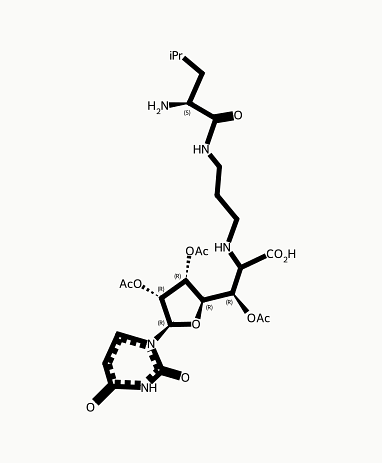 CC(=O)O[C@H]1[C@@H](OC(C)=O)[C@H](n2ccc(=O)[nH]c2=O)O[C@@H]1[C@H](OC(C)=O)C(NCCCNC(=O)[C@@H](N)CC(C)C)C(=O)O